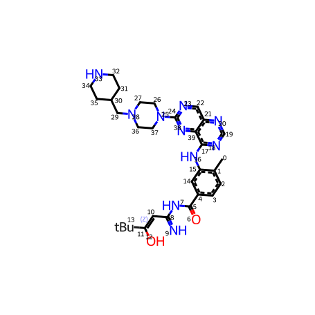 Cc1ccc(C(=O)NC(=N)/C=C(\O)C(C)(C)C)cc1Nc1ncnc2cnc(N3CCN(CC4CCNCC4)CC3)nc12